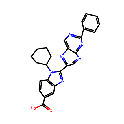 O=C(O)c1ccc2c(c1)nc(-c1cnc3nc(-c4ccccc4)ncc3n1)n2C1CCCCC1